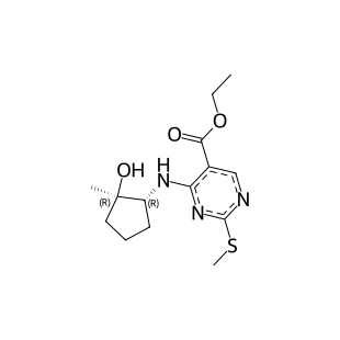 CCOC(=O)c1cnc(SC)nc1N[C@@H]1CCC[C@@]1(C)O